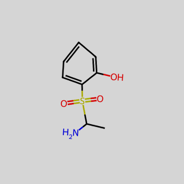 CC(N)S(=O)(=O)c1ccccc1O